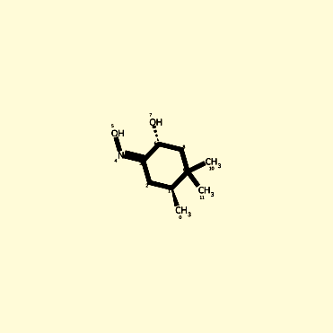 C[C@H]1CC(=NO)[C@H](O)CC1(C)C